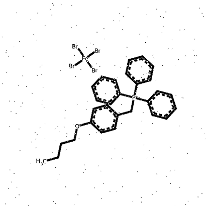 CCCCOc1ccc(C[P+](c2ccccc2)(c2ccccc2)c2ccccc2)cc1.[Br][Fe-]([Br])([Br])[Br]